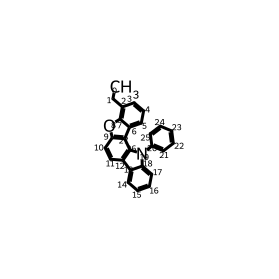 CCc1cccc2c1oc1ccc3c4ccccc4n(-c4ccccc4)c3c12